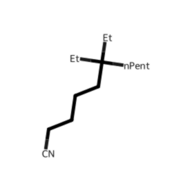 CCCCCC(CC)(CC)CCCCC#N